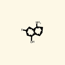 Nc1cccc2c(O)cc(F)cc12